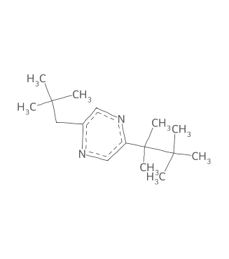 CC(C)(C)Cc1cnc(C(C)(C)C(C)(C)C)cn1